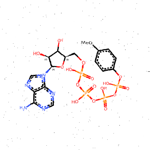 COc1ccc(OP(=O)(O)OP(=O)(O)OP(=O)(O)OP(=O)(O)OC[C@H]2O[C@@H](n3cnc4c(N)ncnc43)[C@@H](O)C2O)cc1